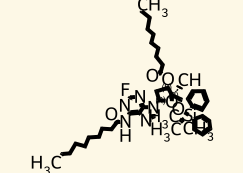 C#C[C@]1(CO[Si](c2ccccc2)(c2ccccc2)C(C)(C)C)O[C@@H](n2cnc3c(NC(=O)CCCCCCCCC)nc(F)nc32)C[C@@H]1OC(=O)CCCCCCCCC